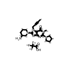 CC#CCn1c(N2CCCC(N)C2)nc2nc(N3CCCC3)n(C)c(=O)c21.O=C(O)C(F)(F)F